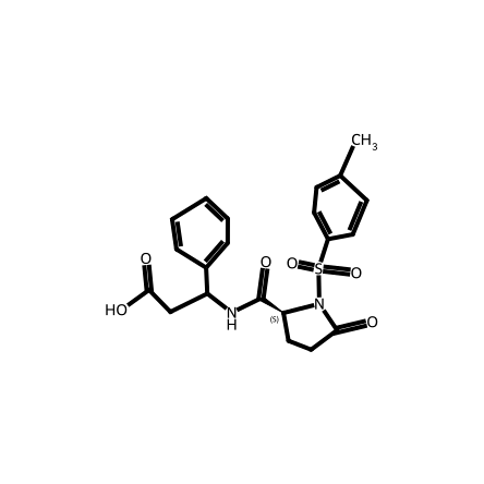 Cc1ccc(S(=O)(=O)N2C(=O)CC[C@H]2C(=O)NC(CC(=O)O)c2ccccc2)cc1